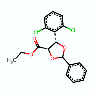 CCOC(=O)[C@@H]1OC(c2ccccc2)O[C@H]1c1c(Cl)cccc1Cl